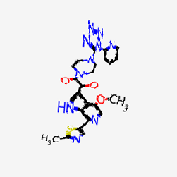 COc1cnc(-c2cnc(C)s2)c2[nH]cc(C(=O)C(=O)N3CCN(c4nnnn4-c4ccccn4)CC3)c12